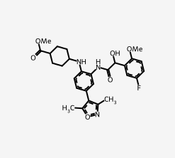 COC(=O)C1CCC(Nc2ccc(-c3c(C)noc3C)cc2NC(=O)C(O)c2cc(F)ccc2OC)CC1